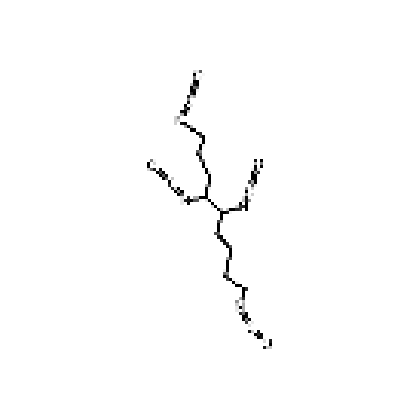 O=C=NCCCCC(N=C=O)C(CCCN=C=O)N=C=O